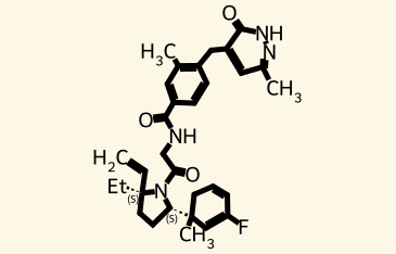 C=C[C@]1(CC)CC[C@@H](C2(C)C=C(F)C=CC2)N1C(=O)CNC(=O)c1ccc(Cc2cc(C)n[nH]c2=O)c(C)c1